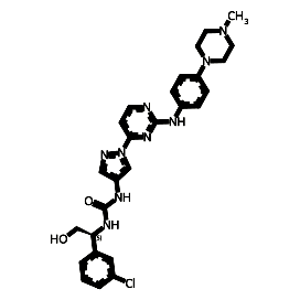 CN1CCN(c2ccc(Nc3nccc(-n4cc(NC(=O)N[C@H](CO)c5cccc(Cl)c5)cn4)n3)cc2)CC1